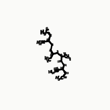 CCC(N)CCC(C)CC(C)CCC(N)CC